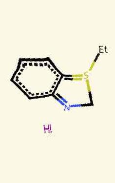 CCS1=c2ccccc2=NC1.I